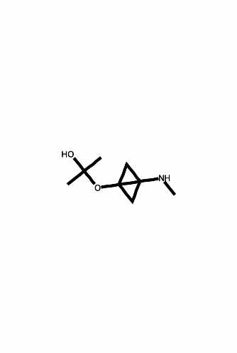 CNC12CC1(OC(C)(C)O)C2